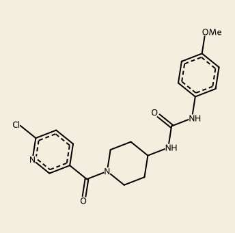 COc1ccc(NC(=O)NC2CCN(C(=O)c3ccc(Cl)nc3)CC2)cc1